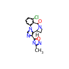 Cc1noc(-c2ncn3c2[C@@H]2CCN2C(=O)c2c(Cl)cccc2-3)n1